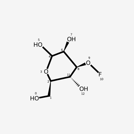 OC[C@H]1OC(O)[C@@H](O)[C@@H](OF)[C@@H]1O